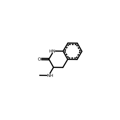 CNC1Cc2ccccc2NC1=O